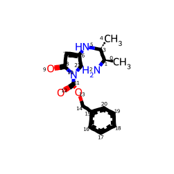 C[C@@H](N)[C@@H](C)NC1=CC(=O)N(C(=O)OCc2ccccc2)C1